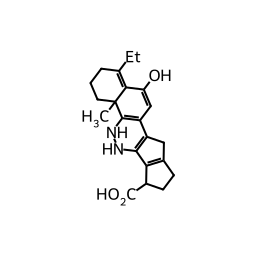 CCC1=C2C(O)=CC3=C(NNC4=C3CC3=C4C(C(=O)O)CC3)C2(C)CCC1